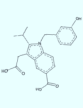 CC(C)c1c(CC(=O)O)c2cc(C(=O)O)ccc2n1Cc1cccc(O)c1